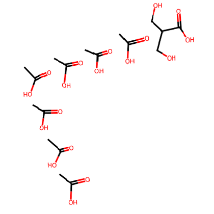 CC(=O)O.CC(=O)O.CC(=O)O.CC(=O)O.CC(=O)O.CC(=O)O.CC(=O)O.O=C(O)C(CO)CO